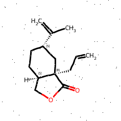 C=CC[C@@]12C[C@@H](C(=C)C)CC[C@@H]1COC2=O